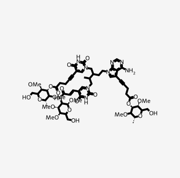 COC1[C@H](C)OC(CO)[C@@H](OC)[C@@H]1OC(=O)CCC#Cc1cn(CC(CCn2cc(C#CCCC(=O)O[C@@H]3C(OC)[C@@H](C)OC(CO)[C@H]3OC)c3c(N)ncnc32)C(C)Cn2cc(/C=C/C(=O)NC3[C@@H](OC)OC(CO)[C@@H](OC)[C@@H]3OC)c(=O)[nH]c2=O)c(=O)[nH]c1=O